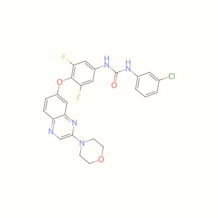 O=C(Nc1cccc(Cl)c1)Nc1cc(F)c(Oc2ccc3ncc(N4CCOCC4)nc3c2)c(F)c1